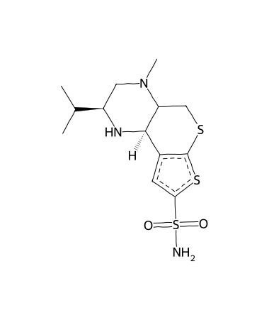 CC(C)[C@H]1CN(C)C2CSc3sc(S(N)(=O)=O)cc3[C@H]2N1